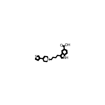 O=C(O)c1ccc2[nH]cc(CCCCN3CC=C(c4ccsc4)CC3)c2c1